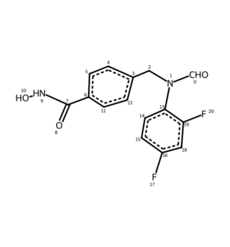 O=CN(Cc1ccc(C(=O)NO)cc1)c1ccc(F)cc1F